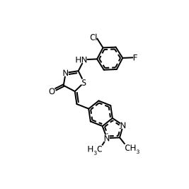 Cc1nc2ccc(/C=C3\SC(Nc4ccc(F)cc4Cl)=NC3=O)cc2n1C